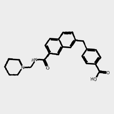 O=C(O)c1ccc(Cc2ccc3ccc(C(=O)NCN4CCCCC4)cc3c2)cc1